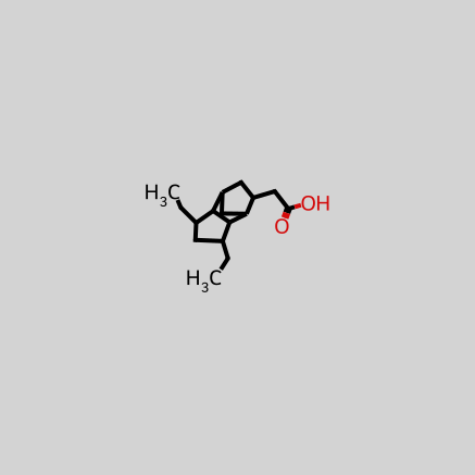 CCC1CC(CC)C2C3CC(CC3CC(=O)O)C12